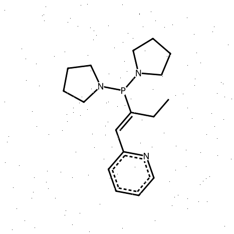 CCC(=Cc1ccccn1)P(N1CCCC1)N1CCCC1